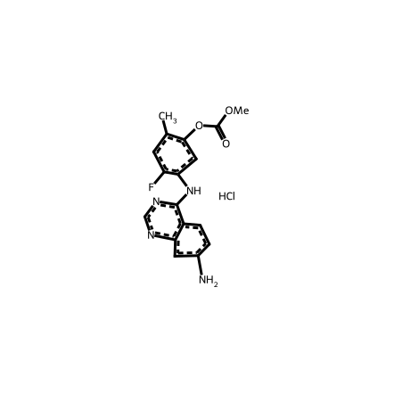 COC(=O)Oc1cc(Nc2ncnc3cc(N)ccc23)c(F)cc1C.Cl